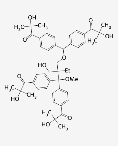 CCC(CO)(COC(c1ccc(C(=O)C(C)(C)O)cc1)c1ccc(C(=O)C(C)(C)O)cc1)C(OC)(c1ccc(C(=O)C(C)(C)O)cc1)c1ccc(C(=O)C(C)(C)O)cc1